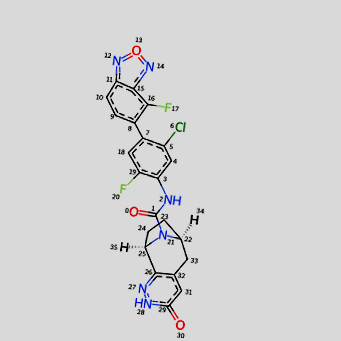 O=C(Nc1cc(Cl)c(-c2ccc3nonc3c2F)cc1F)N1[C@H]2CC[C@@H]1c1n[nH]c(=O)cc1C2